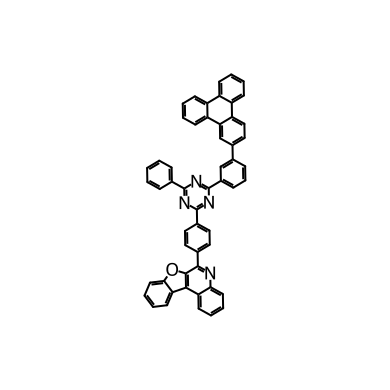 c1ccc(-c2nc(-c3ccc(-c4nc5ccccc5c5c4oc4ccccc45)cc3)nc(-c3cccc(-c4ccc5c6ccccc6c6ccccc6c5c4)c3)n2)cc1